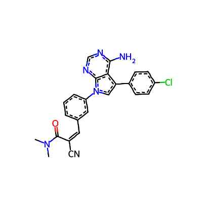 CN(C)C(=O)C(C#N)=Cc1cccc(-n2cc(-c3ccc(Cl)cc3)c3c(N)ncnc32)c1